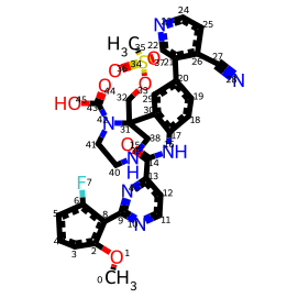 COc1cccc(F)c1-c1nccc(C(=O)Nc2ccc(-c3cnccc3C#N)cc2C2(COS(C)(=O)=O)CNCCN2C(=O)O)n1